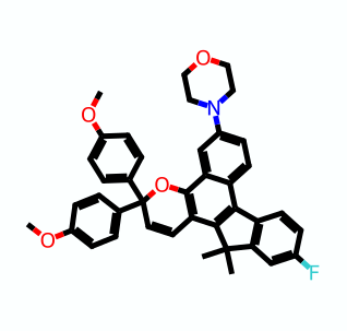 COc1ccc(C2(c3ccc(OC)cc3)C=Cc3c4c(c5ccc(N6CCOCC6)cc5c3O2)-c2ccc(F)cc2C4(C)C)cc1